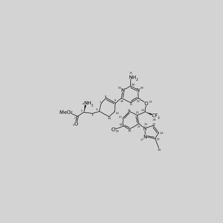 COC(=O)[C@@H](N)CC1CC=C(c2cc(O[C@H](c3ccc(Cl)cc3-n3ccc(C)n3)C(F)(F)F)nc(N)n2)CC1